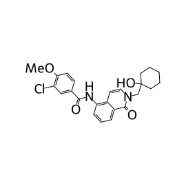 COc1ccc(C(=O)Nc2cccc3c(=O)n(CC4(O)CCCCC4)ccc23)cc1Cl